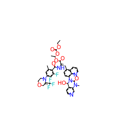 CCOC(=O)OC(C)OC(=O)[C@H](Cc1ccc(N2C(=O)N(C)c3cnccc3C2O)c2ncccc12)NC(=O)c1c(C)cc(N2CCOC[C@@H]2C(F)(F)F)cc1F